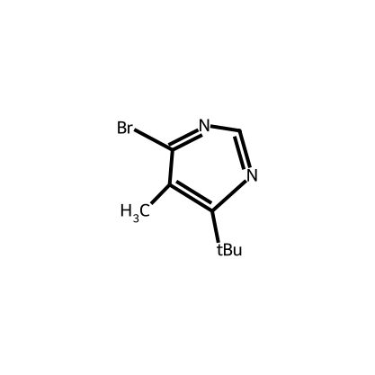 Cc1c(Br)ncnc1C(C)(C)C